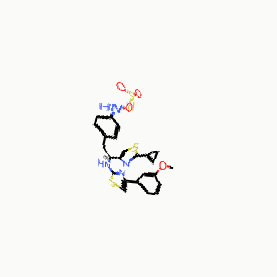 COc1cccc(-c2csc(N[C@@H](Cc3ccc(NO[SH](=O)=O)cc3)c3csc(C4CC4)n3)n2)c1